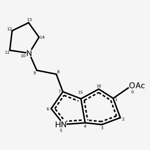 CC(=O)Oc1ccc2[nH]cc(CCN3CCCC3)c2c1